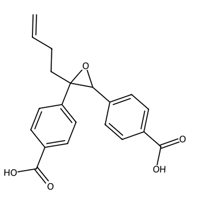 C=CCCC1(c2ccc(C(=O)O)cc2)OC1c1ccc(C(=O)O)cc1